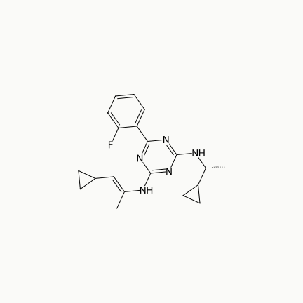 CC(=CC1CC1)Nc1nc(N[C@H](C)C2CC2)nc(-c2ccccc2F)n1